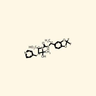 C[C@@H](NC(=O)N1[C@H](C(=O)O)[C@@H](Cc2ccncc2)C1(C)O)c1ccc2c(c1)OC(F)(F)O2